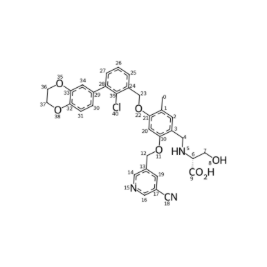 Cc1cc(CN[C@H](CO)C(=O)O)c(OCc2cncc(C#N)c2)cc1OCc1cccc(-c2ccc3c(c2)OCCO3)c1Cl